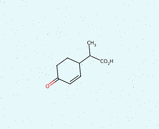 CC(C(=O)O)C1C=CC(=O)CC1